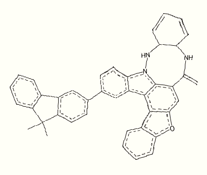 C=C1NC2C=CC=CC2Nn2c3ccc(-c4ccc5c(c4)-c4ccccc4C5(C)C)cc3c3c4c(cc1c32)oc1ccccc14